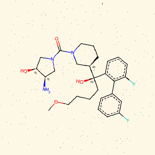 COCCCC[C@@](O)(c1cccc(F)c1-c1cccc(F)c1)[C@@H]1CCCN(C(=O)N2C[C@@H](N)[C@@H](O)C2)C1